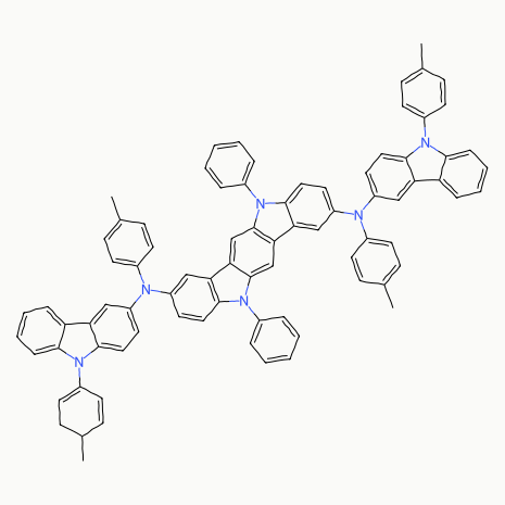 Cc1ccc(N(c2ccc3c(c2)c2ccccc2n3C2=CCC(C)C=C2)c2ccc3c(c2)c2cc4c(cc2n3-c2ccccc2)c2cc(N(c3ccc(C)cc3)c3ccc5c(c3)c3ccccc3n5-c3ccc(C)cc3)ccc2n4-c2ccccc2)cc1